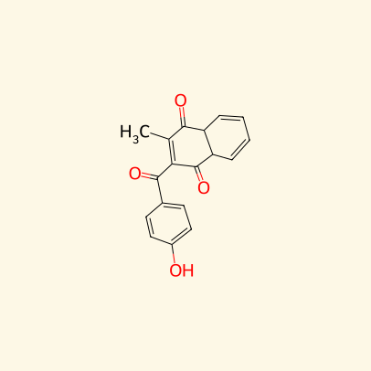 CC1=C(C(=O)c2ccc(O)cc2)C(=O)C2C=CC=CC2C1=O